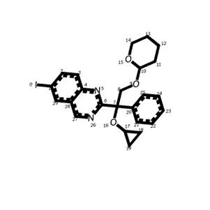 Ic1ccc2nc(C(COC3CCCCO3)(OC3CC3)c3ccccc3)ncc2c1